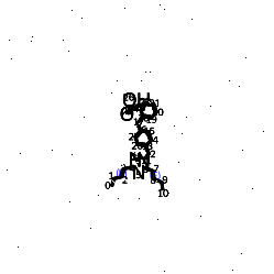 CC/C=C/c1nc(/C=C/CC)n(Cc2ccc(Cc3ccccc3C(=O)O)cc2)n1